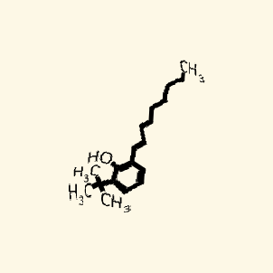 CCCCCCCCCc1cccc(C(C)(C)C)c1O